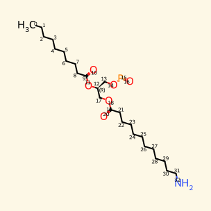 CCCCCCCCCC(=O)O[C@@H](COP=O)COC(=O)CCCCCCCCCCCN